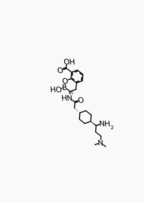 CN(C)CCC(N)[C@H]1CC[C@H](CC(=O)N[C@H]2Cc3cccc(C(=O)O)c3OB2O)CC1